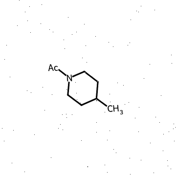 C[C]1CCN(C(C)=O)CC1